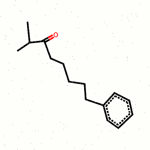 CC(C)C(=O)CCCCCc1ccccc1